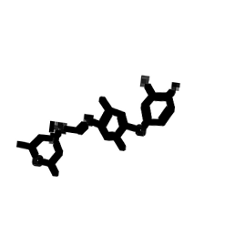 Cc1cc(Oc2ccc(F)c(F)c2)c(C)cc1N=CNN1CC(C)OC(C)C1